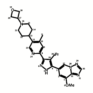 COc1cc(-c2[nH]nc(-c3cc(C)c(C4CCN(C5COC5)CC4)cn3)c2C(C)C)cn2ncnc12